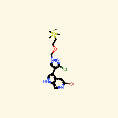 C[SH](C)(C)(C)CCOCn1cc(-c2c[nH]c3cnc(Br)cc23)c(Cl)n1